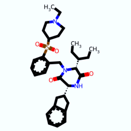 CCC(CC)[C@@H]1C(=O)N[C@H](C2Cc3ccccc3C2)C(=O)N1Cc1ccccc1S(=O)(=O)C1CCN(CC)CC1